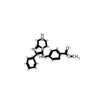 COC(=O)c1ccc(Nc2c(-c3ccccc3)nc3n2CCNC3)cc1